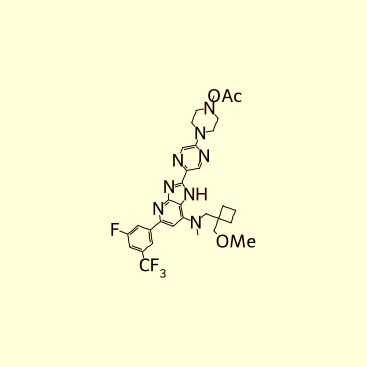 COCC1(CN(C)c2cc(-c3cc(F)cc(C(F)(F)F)c3)nc3nc(-c4cnc(N5CCN(OC(C)=O)CC5)cn4)[nH]c23)CCC1